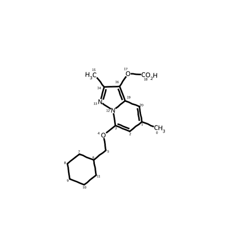 Cc1cc(OCC2CCCCC2)n2nc(C)c(OC(=O)O)c2c1